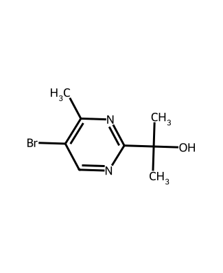 Cc1nc(C(C)(C)O)ncc1Br